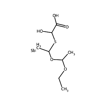 CCOC(C)OC(C)SC(O)C(=O)O.[Sb]